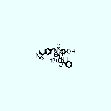 Cc1ncsc1-c1ccc(CNC(=O)[C@@H]2C[C@@H](O)CN2C(=O)C(NC(=O)C2CCCCC2)C(C)(C)C)cc1